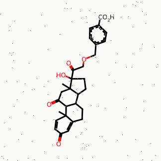 CC12C=CC(=O)C=C1CCC1C2C(=O)CC2(C)C1CCC2(O)C(=O)COCc1ccc(C(=O)O)cc1